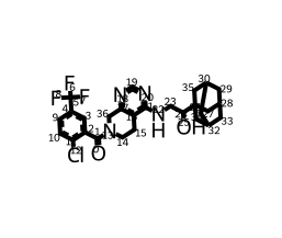 O=C(c1cc(C(F)(F)F)ccc1Cl)N1CCc2c(ncnc2NCC(O)C23CC4CC(CC(C4)C2)C3)C1